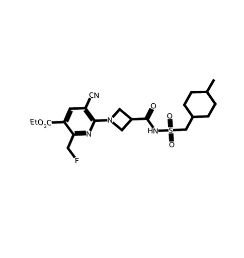 CCOC(=O)c1cc(C#N)c(N2CC(C(=O)NS(=O)(=O)CC3CCC(C)CC3)C2)nc1CF